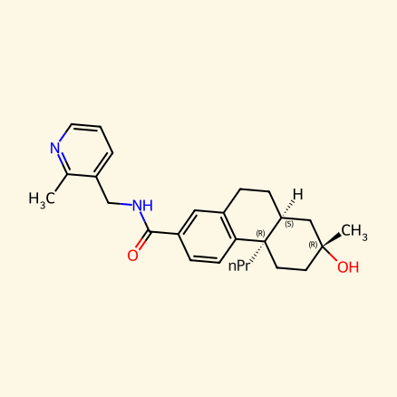 CCC[C@@]12CC[C@@](C)(O)C[C@@H]1CCc1cc(C(=O)NCc3cccnc3C)ccc12